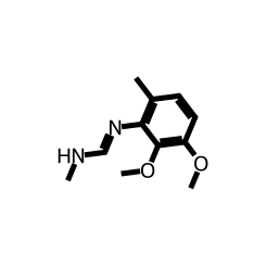 CNC=Nc1c(C)ccc(OC)c1OC